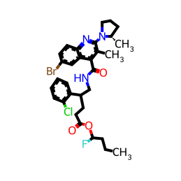 CCCC(F)OC(=O)CCC(CNC(=O)c1c(C)c(N2CCC[C@@H]2C)nc2ccc(Br)cc12)c1ccccc1Cl